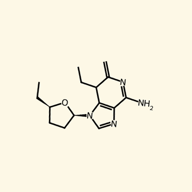 C=C1N=C(N)c2ncn([C@H]3CC[C@@H](CC)O3)c2C1CC